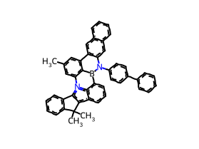 Cc1cc2c3c(c1)-n1c4c(c5cccc(c51)B3N(c1ccc(-c3ccccc3)cc1)c1cc3ccccc3cc1-2)C(C)(C)c1ccccc1-4